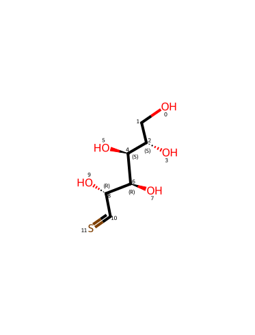 OC[C@H](O)[C@H](O)[C@@H](O)[C@@H](O)C=S